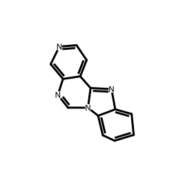 c1ccc2c(c1)nc1c3ccncc3ncn21